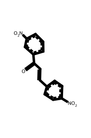 O=C(C=Cc1ccc([N+](=O)[O-])cc1)c1cccc([N+](=O)[O-])c1